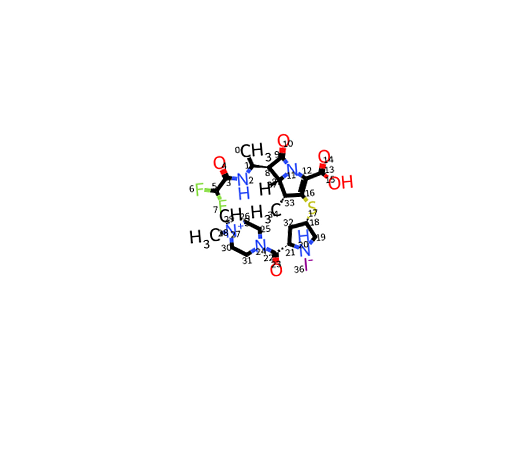 CC(NC(=O)C(F)F)[C@H]1C(=O)N2C(C(=O)O)=C(S[C@@H]3CN[C@H](C(=O)N4CC[N+](C)(C)CC4)C3)[C@H](C)[C@H]12.[I-]